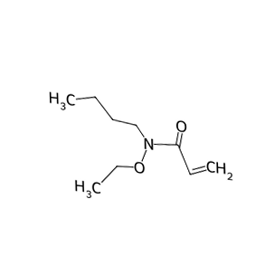 C=CC(=O)N(CCCC)OCC